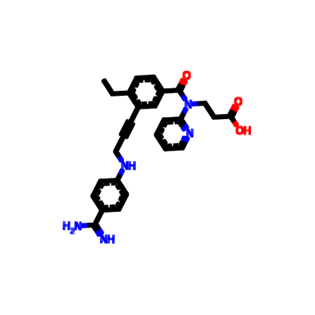 CCc1ccc(C(=O)N(CCC(=O)O)c2ccccn2)cc1C#CCNc1ccc(C(=N)N)cc1